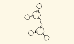 C1CCC(N2CCN(CCCN3CCN(C4CCCCC4)CCN(C4CCCCC4)CC3)CCN(C3CCCCC3)CC2)CC1